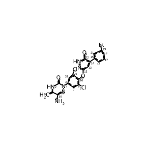 C=C1NC(=O)N(c2cc(Cl)c(Oc3cc(-c4cccc(CC)c4)c(=O)[nH]n3)c(Cl)c2)N=C1N